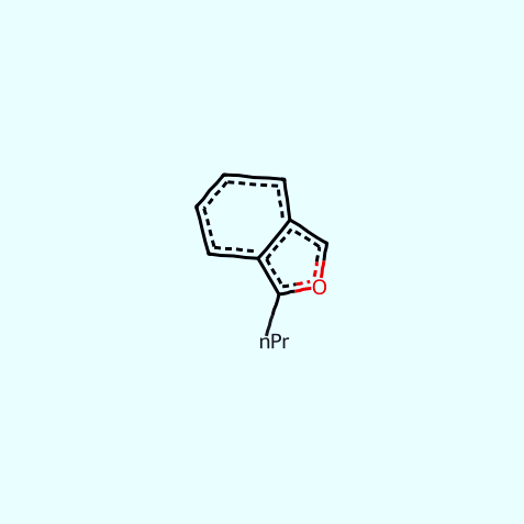 [CH2]CCc1occ2ccccc12